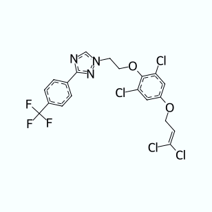 FC(F)(F)c1ccc(-c2ncn(CCOc3c(Cl)cc(OCC=C(Cl)Cl)cc3Cl)n2)cc1